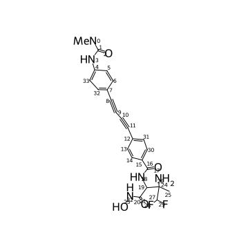 CNC(=O)Nc1ccc(C#CC#Cc2ccc(C(=O)NC(C(=O)NO)C(C)(N)C(F)F)cc2)cc1